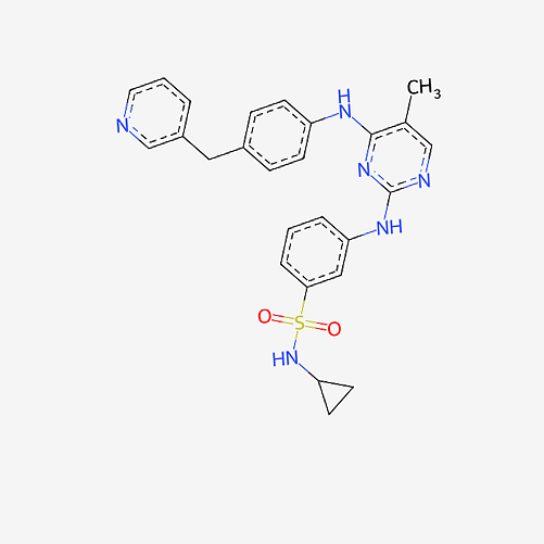 Cc1cnc(Nc2cccc(S(=O)(=O)NC3CC3)c2)nc1Nc1ccc(Cc2cccnc2)cc1